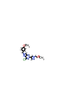 COCCn1cc(-c2nc(Cl)c3nn(Cc4ccc(OC)cc4)cc3n2)cn1